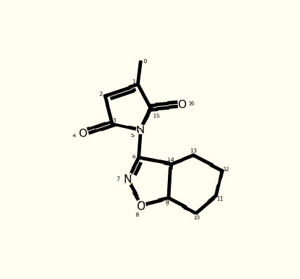 CC1=CC(=O)N(C2=NOC3CCCCC23)C1=O